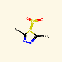 CCCC1=NN=C(C(Cl)(Cl)Cl)S1=S(=O)=O